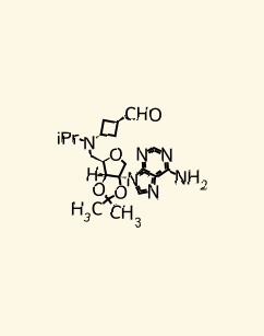 CC(C)N(C[C@H]1OC[C@@]2(n3cnc4c(N)ncnc43)OC(C)(C)O[C@H]12)[C@H]1C[C@H](C=O)C1